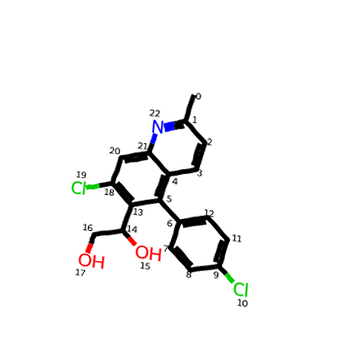 Cc1ccc2c(-c3ccc(Cl)cc3)c(C(O)CO)c(Cl)cc2n1